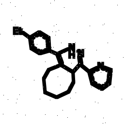 CCc1ccc(C2=C3CCCCCCC3C(c3ccccn3)=NN2)cc1